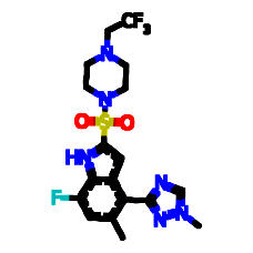 Cc1cc(F)c2[nH]c(S(=O)(=O)N3CCN(CC(F)(F)F)CC3)cc2c1-c1ncn(C)n1